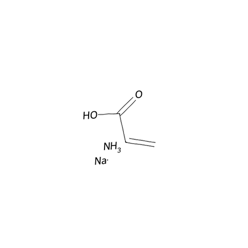 C=CC(=O)O.N.[Na]